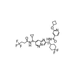 O=C(CCC(F)(F)F)N[C@@H](c1cnn2cc([C@@H](NC(=O)c3ccnc(OC4CCC4)c3)C3CCC(F)(F)CC3)nc2c1)C1CC1